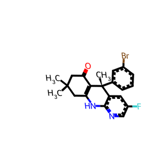 CC1(C)CC(=O)C2=C(C1)Nc1ncc(F)cc1[C@@]2(C)c1cccc(Br)c1